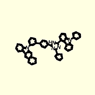 c1ccc(C2=NC(c3cccc4c3c3ccccc3n4-c3ccccc3)NC(c3ccc(-c4cccc(-n5c6ccccc6c6cc7ccccc7cc65)c4)cc3)=N2)cc1